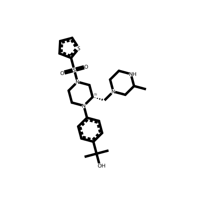 CC1CN(C[C@H]2CN(S(=O)(=O)c3cccs3)CCN2c2ccc(C(C)(C)O)cc2)CCN1